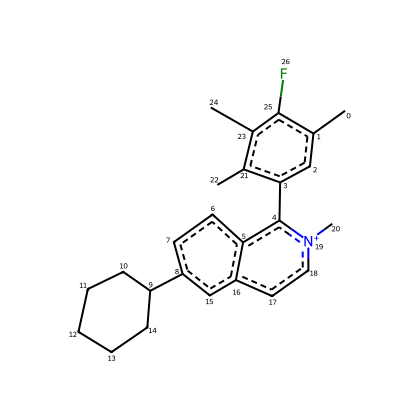 Cc1cc(-c2c3ccc(C4CCCCC4)cc3cc[n+]2C)c(C)c(C)c1F